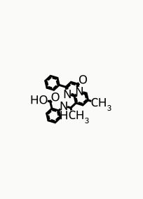 Cc1cc(C(C)Nc2ccccc2C(=O)O)c2nc(-c3ccccc3)cc(=O)n2c1